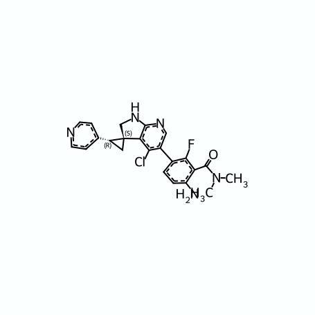 CN(C)C(=O)c1c(N)ccc(-c2cnc3c(c2Cl)[C@]2(CN3)C[C@@H]2c2ccncc2)c1F